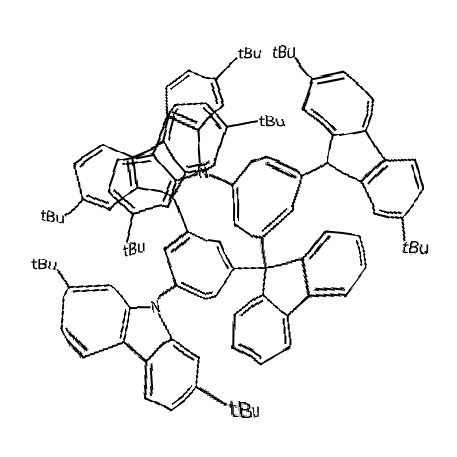 CC(C)(C)c1ccc2c(c1)C(c1cc(-n3c4cc(C(C)(C)C)ccc4c4ccc(C(C)(C)C)cc43)cc(C3(c4cc(C5c6cc(C(C)(C)C)ccc6-c6ccc(C(C)(C)C)cc65)cc(-n5c6cc(C(C)(C)C)ccc6c6ccc(C(C)(C)C)cc65)c4)c4ccccc4-c4ccccc43)c1)c1cc(C(C)(C)C)ccc1-2